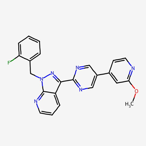 COc1cc(-c2cnc(-c3nn(Cc4ccccc4F)c4ncccc34)nc2)ccn1